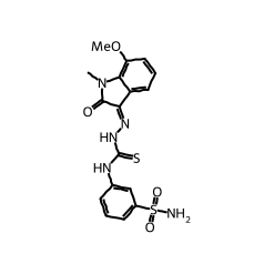 COc1cccc2c1N(C)C(=O)C2=NNC(=S)Nc1cccc(S(N)(=O)=O)c1